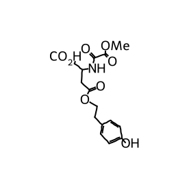 COC(=O)C(=O)NC(CC(=O)O)CC(=O)OCCc1ccc(O)cc1